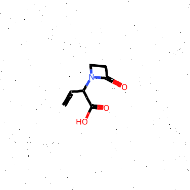 C=CC(C(=O)O)N1CCC1=O